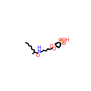 CCCCCCC(C)C(=O)NCCCCCC(=O)Oc1ccc(S(=O)(=O)O)cc1